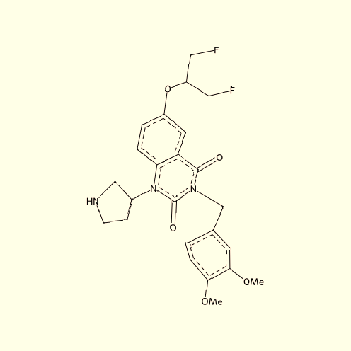 COc1ccc(Cn2c(=O)c3cc(OC(CF)CF)ccc3n(C3CCNC3)c2=O)cc1OC